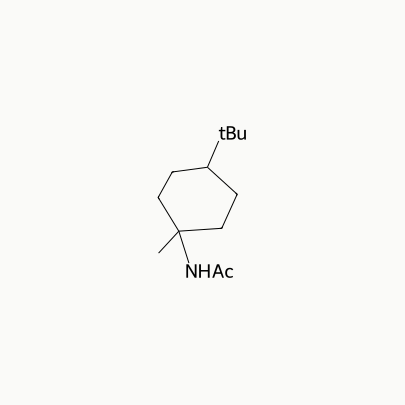 CC(=O)NC1(C)CCC(C(C)(C)C)CC1